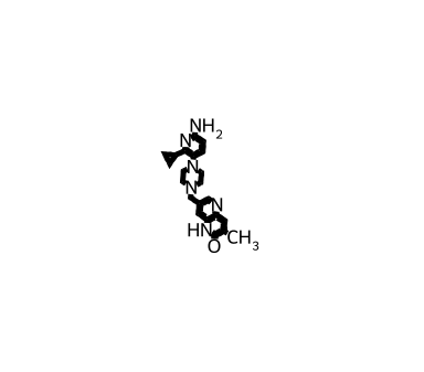 Cc1cc2ncc(CN3CCN(c4ccc(N)nc4C4CC4)CC3)cc2[nH]c1=O